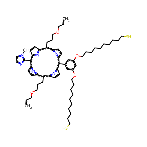 C=CCOCCCc1c2nc(c(-c3nccn3C)c3ccc([nH]3)c(CCCOCC=C)c3nc(c(-c4cc(OCCCCCCCCCCS)cc(OCCCCCCCCCCS)c4)c4ccc1[nH]4)C=C3)C=C2